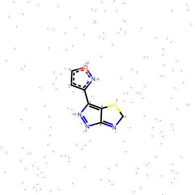 c1cc(C2=C3SCN=C3N=N2)no1